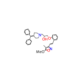 COc1onc(C=Cc2ccccc2OCC(O)CN2CCC(=C(c3ccccc3)c3ccccc3)CC2)c1C